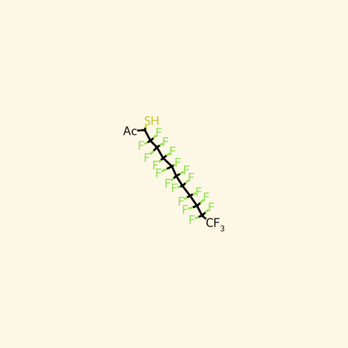 CC(=O)C(S)C(F)(F)C(F)(F)C(F)(F)C(F)(F)C(F)(F)C(F)(F)C(F)(F)C(F)(F)C(F)(F)C(F)(F)F